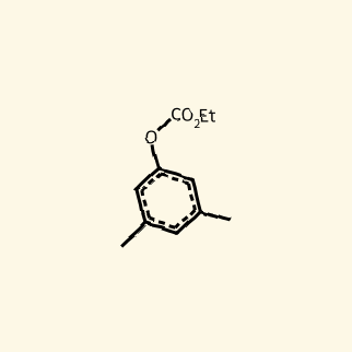 CCOC(=O)Oc1cc(C)cc(C)c1